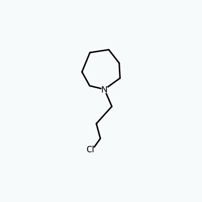 ClCCCN1CCCCCC1